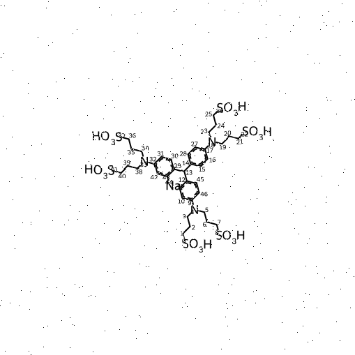 O=S(=O)(O)CCCN(CCCS(=O)(=O)O)c1ccc(C(c2ccc(N(CCCS(=O)(=O)O)CCCS(=O)(=O)O)cc2)c2ccc(N(CCCS(=O)(=O)O)CCCS(=O)(=O)O)c[c]2[Na])cc1